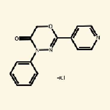 Cl.O=C1COC(c2ccncc2)=NN1c1ccccc1